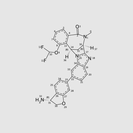 CN1C(=O)c2cccc(OC(F)F)c2[C@H]2C[C@@H]1c1nc3ccc(-c4ccc5c(c4)OC[C@@H]5N)cc3n12